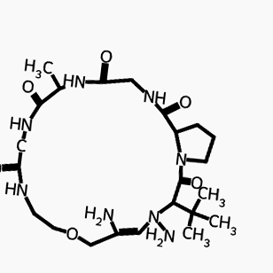 CC1NC(=O)CNC(=O)C2CCCN2C(=O)C(C(C)(C)C)N(N)/C=C(\N)COCCNC(=O)CNC1=O